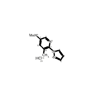 CNc1cnc(-n2cccn2)c(C)c1.Cl